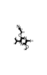 COc1nc(C(C)C)c(OCC#N)nc1I